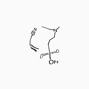 C=CC#N.CN(C)CCS(=O)(=O)O